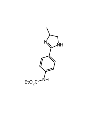 CCOC(=O)Nc1ccc(C2=NC(C)CN2)cc1